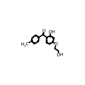 Cc1ccc(C(=O)c2ccc(OCCO)cc2O)cc1